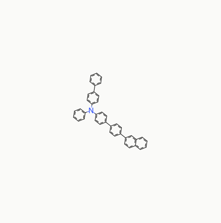 c1ccc(-c2ccc(N(c3ccccc3)c3ccc(-c4ccc(-c5ccc6ccccc6c5)cc4)cc3)cc2)cc1